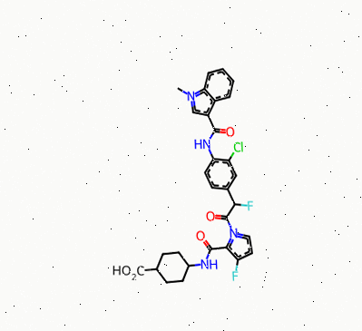 Cn1cc(C(=O)Nc2ccc(C(F)C(=O)n3ccc(F)c3C(=O)NC3CCC(C(=O)O)CC3)cc2Cl)c2ccccc21